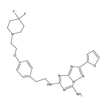 Nc1nc(NCCc2ccc(OCCN3CCC(F)(F)CC3)cc2)nc2nc(-c3ccco3)nn12